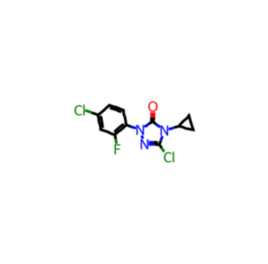 O=c1n(-c2ccc(Cl)cc2F)nc(Cl)n1C1CC1